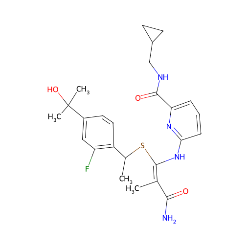 C/C(C(N)=O)=C(/Nc1cccc(C(=O)NCC2CC2)n1)SC(C)c1ccc(C(C)(C)O)cc1F